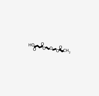 C=CC(=O)OCCOCCOC(=O)CCC(=O)O